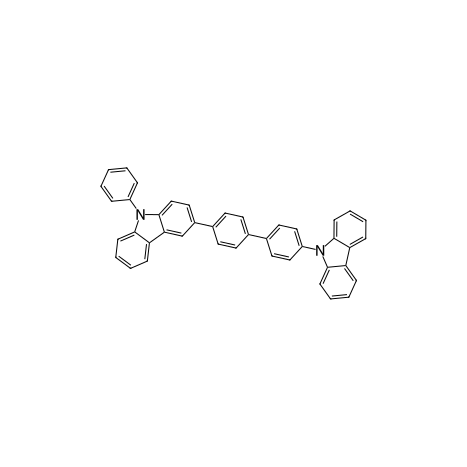 c1ccc(-n2c3ccccc3c3cc(-c4ccc(-c5ccc(-n6c7ccccc7c7ccccc76)cc5)cc4)ccc32)cc1